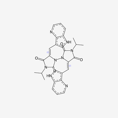 CC(C)N1C(=O)/C(=C/c2c[nH]c3cccnc23)N(N2C(=O)N(C(C)C)C(=O)/C2=C/c2c[nH]c3cccnc23)C1=O